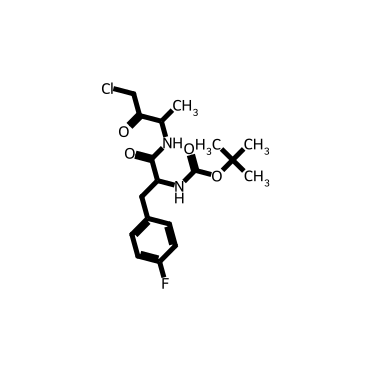 CC(NC(=O)C(Cc1ccc(F)cc1)NC(=O)OC(C)(C)C)C(=O)CCl